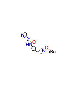 CCC(C)CC(=O)N1CCC(Cc2ccc(NC(=O)C3CN(c4cccnn4)C3)cc2)CC1